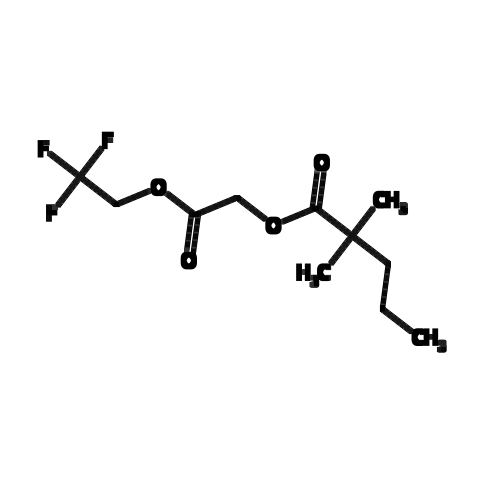 CCCC(C)(C)C(=O)OCC(=O)OCC(F)(F)F